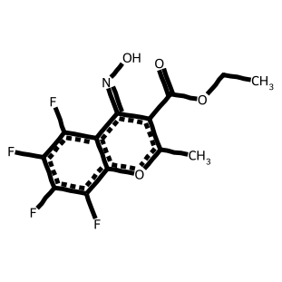 CCOC(=O)c1c(C)oc2c(F)c(F)c(F)c(F)c2/c1=N/O